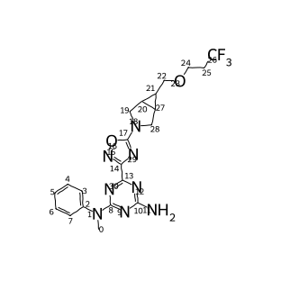 CN(c1ccccc1)c1nc(N)nc(-c2noc(N3CC4C(COCCC(F)(F)F)C4C3)n2)n1